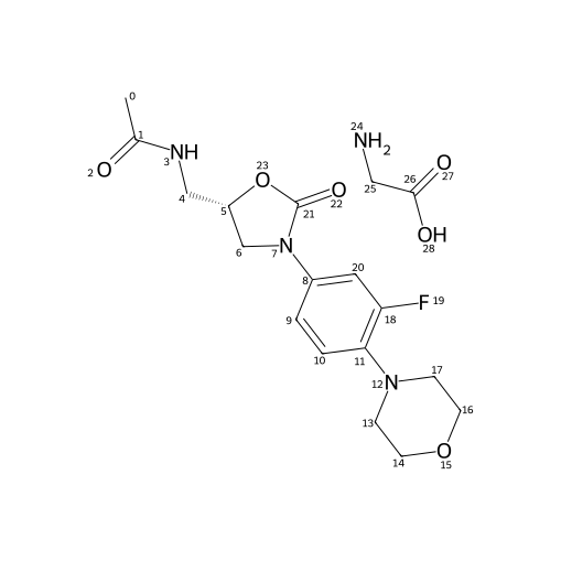 CC(=O)NC[C@H]1CN(c2ccc(N3CCOCC3)c(F)c2)C(=O)O1.NCC(=O)O